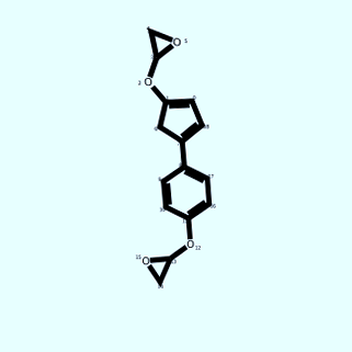 C1=C(OC2CO2)CC(c2ccc(OC3CO3)cc2)=C1